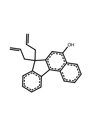 C=CCC1(CC=C)c2ccccc2-c2c1cc(O)c1ccccc21